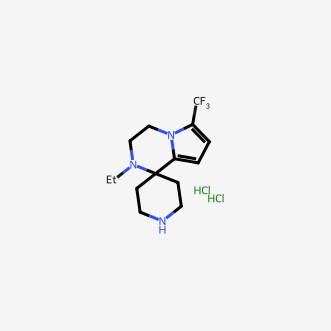 CCN1CCn2c(C(F)(F)F)ccc2C12CCNCC2.Cl.Cl